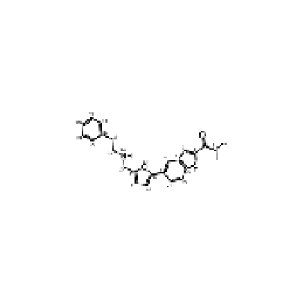 CNC(=O)c1cc2cc(-c3ccc(CNCCc4ccccc4)o3)ccc2s1